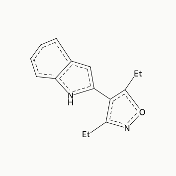 CCc1noc(CC)c1-c1cc2ccccc2[nH]1